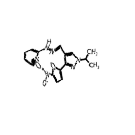 CC(C)n1cc(/C=N/Nc2ccccn2)c(-c2ccc([N+](=O)[O-])o2)n1